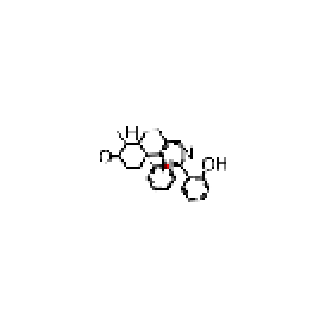 C[C@@H]1C(=O)CC[C@]2(c3ccccc3)c3nc(-c4ccccc4O)ncc3CC[C@@H]12